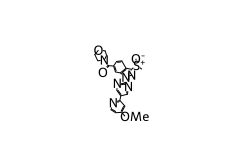 COc1ccnc(-c2cnc(-n3nc([S+](C)[O-])c4ccc(C(=O)N5CCOCC5)cc43)nc2)c1